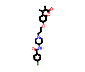 Cc1c(C)c2ccc(OCCCN3CCC(NC(=O)c4ccc(F)cc4)CC3)cc2oc1=O